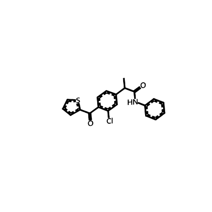 CC(C(=O)Nc1ccccc1)c1ccc(C(=O)c2cccs2)c(Cl)c1